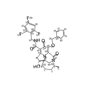 C[C@H]1CC[C@H](O)[C@]23CCc4c(C(=O)NCc5c(F)cc(F)cc5F)c(=O)c(OCc5ccccc5)c(n42)C(=O)N1C3